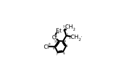 [CH2]C(C=C)c1cccc(Cl)c1OCC